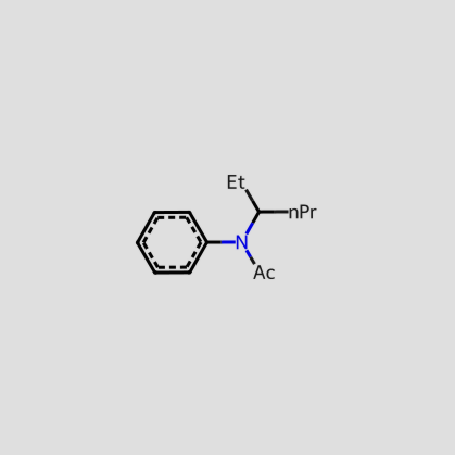 CCCC(CC)N(C(C)=O)c1ccccc1